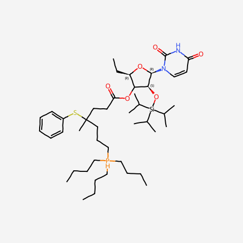 CCCC[PH](CCCC)(CCCC)CCCC(C)(CCC(=O)OC1[C@@H](CC)O[C@@H](n2ccc(=O)[nH]c2=O)[C@H]1O[Si](C(C)C)(C(C)C)C(C)C)Sc1ccccc1